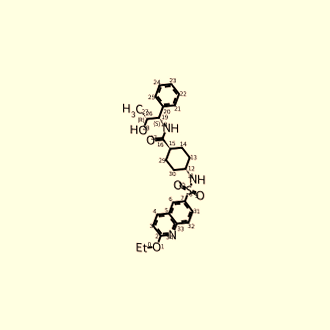 CCOc1ccc2cc(S(=O)(=O)N[C@H]3CC[C@H](C(=O)N[C@@H](c4ccccc4)[C@@H](C)O)CC3)ccc2n1